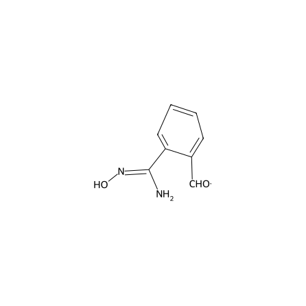 N/C(=N\O)c1ccccc1[C]=O